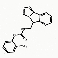 O=C(NCC1c2ccccc2-c2cncn21)Nc1ccccc1C(F)(F)F